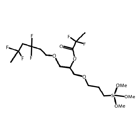 CO[Si](CCCOCC(COCCC(F)(F)CC(C)(F)F)OC(=O)C(C)(F)F)(OC)OC